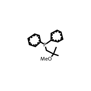 COC(C)(C)CP(c1ccccc1)c1ccccc1